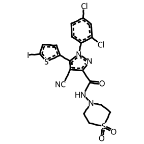 N#Cc1c(C(=O)NN2CCS(=O)(=O)CC2)nn(-c2ccc(Cl)cc2Cl)c1-c1ccc(I)s1